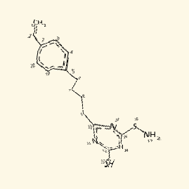 C=Cc1ccc(CCCCc2nc(S)nc(SN)n2)cc1